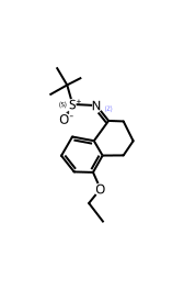 CCOc1cccc2c1CCC/C2=N/[S@+]([O-])C(C)(C)C